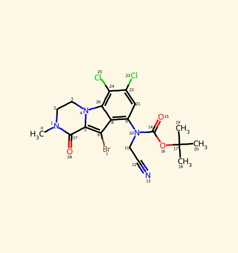 CN1CCn2c(c(Br)c3c(N(CC#N)C(=O)OC(C)(C)C)cc(Cl)c(Cl)c32)C1=O